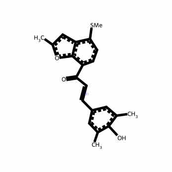 CSc1ccc(C(=O)/C=C/c2cc(C)c(O)c(C)c2)c2oc(C)cc12